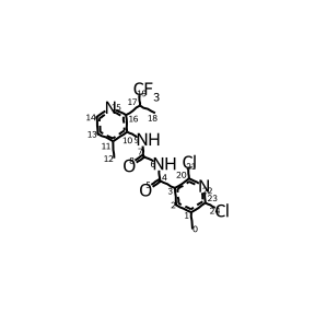 Cc1cc(C(=O)NC(=O)Nc2c(C)ccnc2C(C)C(F)(F)F)c(Cl)nc1Cl